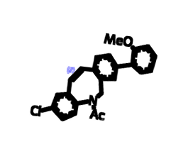 COc1ccccc1-c1ccc2c(c1)CN(C(C)=O)c1ccc(Cl)cc1/C=C\2